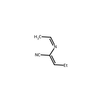 C/C=N\C(C#N)=C/CC